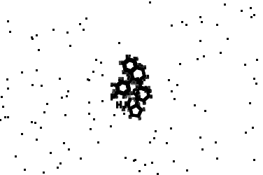 NC[C@@]1(C2CCCC2)CCN=C(N2CCc3ccccc3[C@@H]2c2ccc(F)cc2)O1